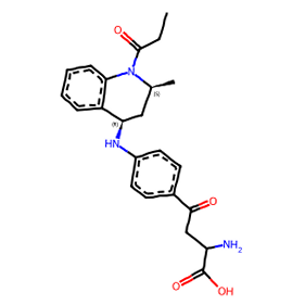 CCC(=O)N1c2ccccc2[C@H](Nc2ccc(C(=O)CC(N)C(=O)O)cc2)C[C@@H]1C